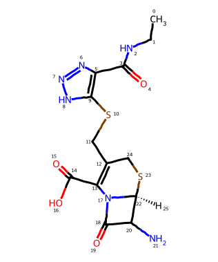 CCNC(=O)c1nn[nH]c1SCC1=C(C(=O)O)N2C(=O)C(N)[C@@H]2SC1